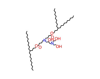 CCCCCCCCCCC(CCCCCCCCCC)CCCOC(=O)CCCN(CCCC(=O)OCCCC(CCCCCCCCCC)CCCCCCCCCC)C[C@H](O)CN(CCO)CCO